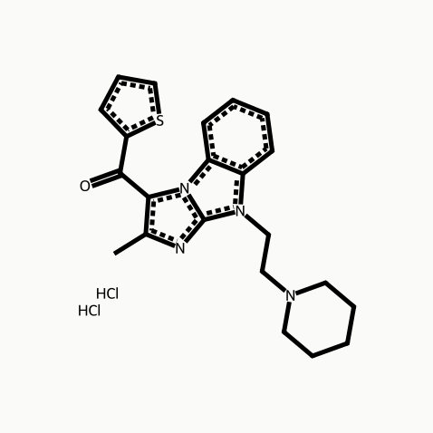 Cc1nc2n(CCN3CCCCC3)c3ccccc3n2c1C(=O)c1cccs1.Cl.Cl